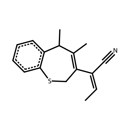 C/C=C(/C#N)C1=C(C)C(C)c2ccccc2SC1